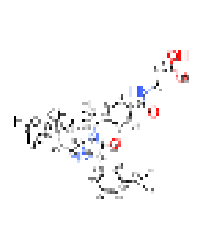 C[C@H](c1ccc(C(=O)NCCC(=O)O)cc1)N1C(=O)C(c2cccc(C3CC3)c2)NC12CCC(C(C)(C)C)CC2